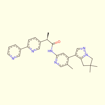 Cc1cnc(NC(=O)[C@H](C)c2ccc(-c3cccnc3)nc2)cc1-c1cnn2c1CC(C)(C)C2